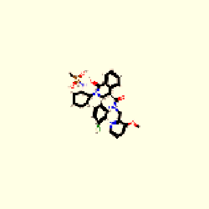 COc1cccnc1CNC(=O)[C@@H]1c2ccccc2C(=O)N(C2CCCC[C@@H]2NS(C)(=O)=O)[C@H]1c1ccc(Cl)cc1